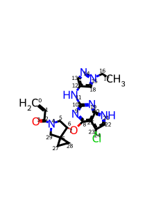 C=CC(=O)N1C[C@H](Oc2nc(Nc3cnn(CC)c3)nc3[nH]cc(Cl)c23)C2(CC2)C1